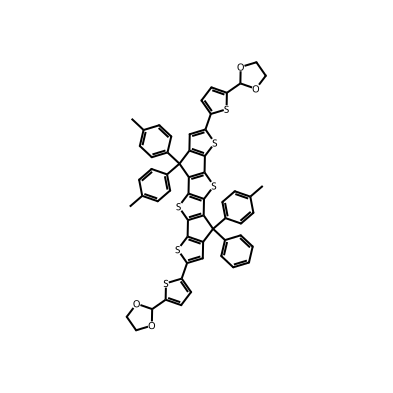 Cc1ccc(C2(c3ccccc3)c3cc(-c4ccc(C5OCCO5)s4)sc3-c3sc4c5c(sc4c32)-c2sc(-c3ccc(C4OCCO4)s3)cc2C5(c2ccc(C)cc2)c2ccc(C)cc2)cc1